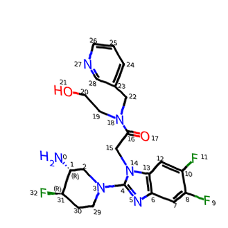 N[C@@H]1CN(c2nc3cc(F)c(F)cc3n2CC(=O)N(CCO)Cc2cccnc2)CC[C@H]1F